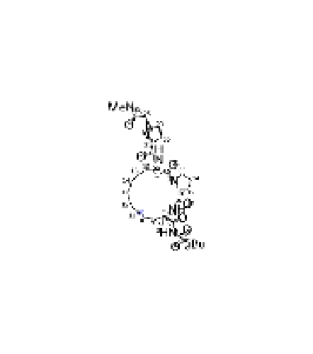 CCC(C)S(=O)(=O)NC(=O)[C@@]12CC1/C=C\CCCCC[C@H](NC(=O)c1ccn(CC(=O)NC)n1)C(=O)N1CCCC1C(=O)N2